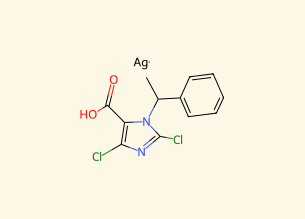 CC(c1ccccc1)n1c(Cl)nc(Cl)c1C(=O)O.[Ag]